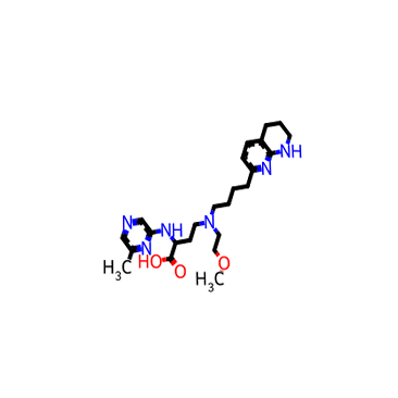 COCCN(CCCCc1ccc2c(n1)NCCC2)CCC(Nc1cncc(C)n1)C(=O)O